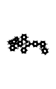 c1ccc(-c2cc(-c3ccc(-c4cccc5c4oc4ccccc45)cc3)nc(-c3ccccc3-c3ccc4c(c3)C3(c5ccccc5O4)c4ccccc4-c4ccccc43)n2)cc1